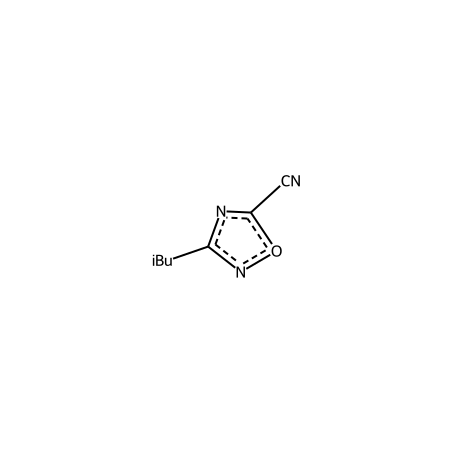 CCC(C)c1noc(C#N)n1